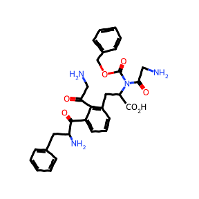 NCC(=O)c1c(CC(C(=O)O)N(C(=O)CN)C(=O)OCc2ccccc2)cccc1C(=O)C(N)Cc1ccccc1